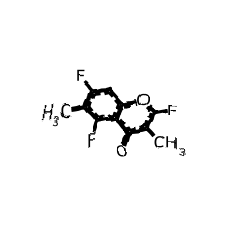 Cc1c(F)cc2oc(F)c(C)c(=O)c2c1F